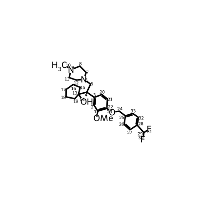 COc1cc(C(CN2CCN(C)CC2)C2(O)CCCCC2)ccc1OCc1ccc(C(F)F)cc1